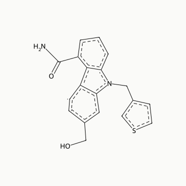 NC(=O)c1cccc2c1c1[c]cc(CO)cc1n2Cc1ccsc1